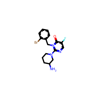 NC1CCCN(c2ncc(F)c(=O)n2Cc2ccccc2Br)C1